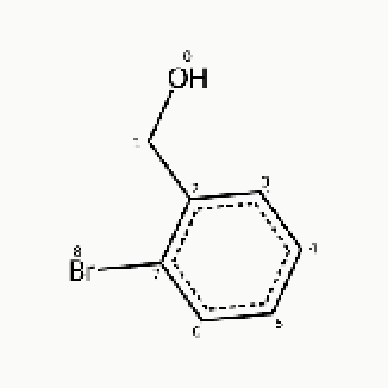 OCc1[c]cccc1Br